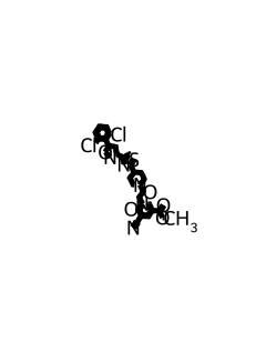 COC(=O)c1cc(C#N)c(=O)n(CC(=O)N2CCC(c3nc(C4=NOC(c5c(Cl)cccc5Cl)C4)cs3)CC2)c1